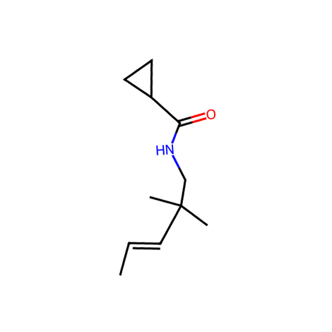 CC=CC(C)(C)CNC(=O)C1CC1